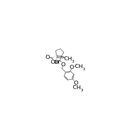 COc1ccc(COC(=O)[C@@]2(C)CCC[C@H]2C(=O)O)c(OC)c1